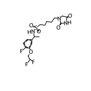 CC(NS(=O)(=O)CCCCCN1CC(=O)NC1=O)c1ccc(F)c(OCC(F)F)c1